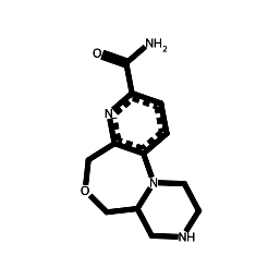 NC(=O)c1ccc2c(n1)COCC1CNCCN21